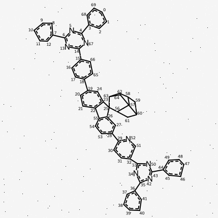 c1ccc(-c2nc(-c3ccccc3)nc(-c3ccc(-c4ccc5c(c4)C4(c6cc(-c7ccc(-c8nc(-c9ccccc9)nc(-c9ccccc9)n8)cn7)ccc6-5)C5CC6CC(C5)CC4C6)cc3)n2)cc1